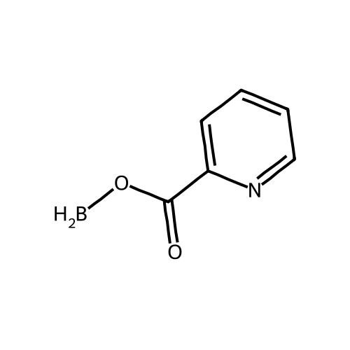 BOC(=O)c1ccccn1